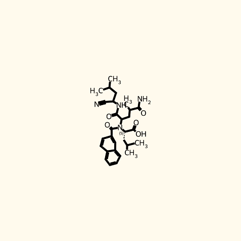 CC(C)CC(C#N)NC(=O)C(CC(C)C(N)=O)N(C(=O)c1ccc2ccccc2c1)[C@@H](CC(C)C)C(=O)O